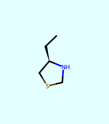 CC[C@@H]1CSCN1